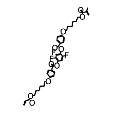 C=CC(=O)OCCCCCCOc1ccc(C(=O)Oc2cc(F)c(OC(=O)c3ccc(OCCCCCCOC(=O)C(=C)C)cc3)c(F)c2F)cc1